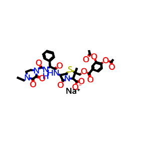 CCN1CCN(C(=O)NC(C(=O)NC2C(=O)N3C2SC(C)(COC(=O)c2ccc(OC(C)=O)c(OC(C)=O)c2)C3C(=O)[O-])c2ccccc2)C(=O)C1=O.[Na+]